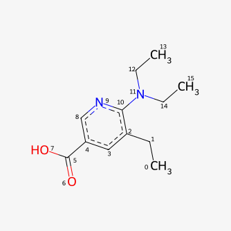 CCc1cc(C(=O)O)cnc1N(CC)CC